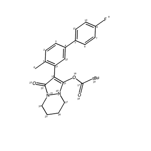 Cc1ccc(-c2ccc(F)cc2)cc1-c1c(OC(=O)C(C)(C)C)n2n(c1=O)CCCC2